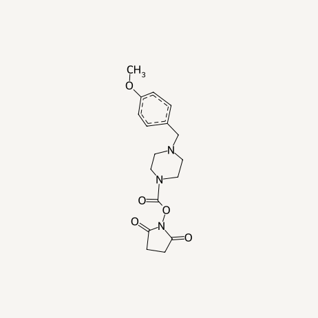 COc1ccc(CN2CCN(C(=O)ON3C(=O)CCC3=O)CC2)cc1